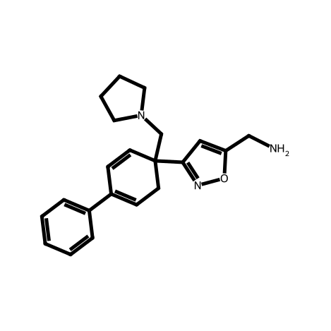 NCc1cc(C2(CN3CCCC3)C=CC(c3ccccc3)=CC2)no1